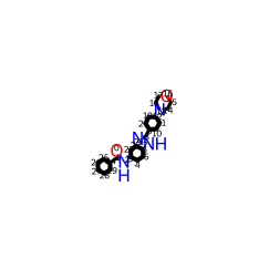 O=C(Nc1ccc2[nH]c(-c3ccc(N4CCOCC4)cc3)nc2c1)c1ccccc1